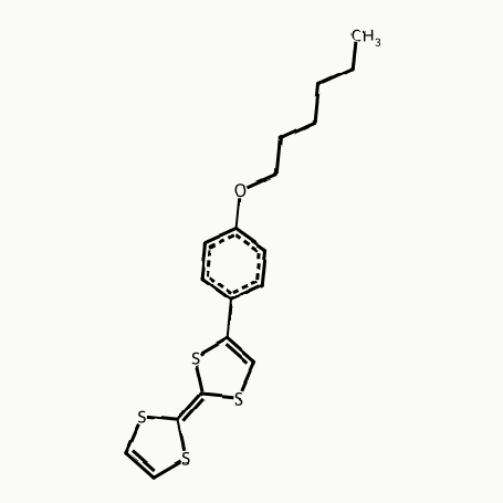 CCCCCCOc1ccc(C2=CSC(=C3SC=CS3)S2)cc1